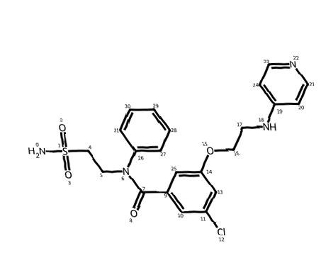 NS(=O)(=O)CCN(C(=O)c1cc(Cl)cc(OCCNc2ccncc2)c1)c1ccccc1